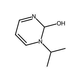 CC(C)N1C=CC=NC1O